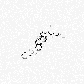 CC(CCCC(C)(C)O)[C@H]1CC[C@H]2[C@@H]3CC=C4C[C@@H](OC(=O)CN5CCCCC5)CC[C@]4(C)[C@H]3CC[C@]12C